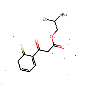 CCCCC(CC)COC(=O)CC(=O)C1=CC=CCC1=S